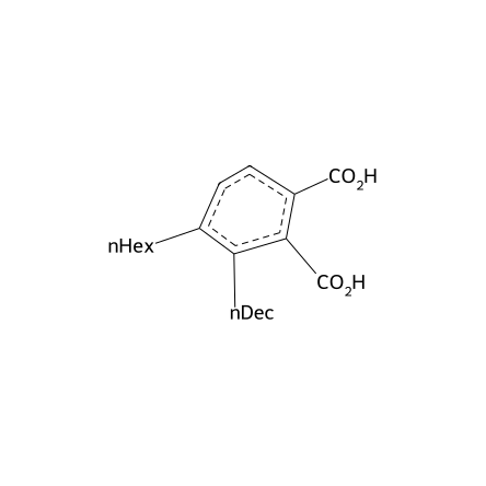 CCCCCCCCCCc1c(CCCCCC)ccc(C(=O)O)c1C(=O)O